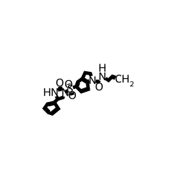 C=CCNC(=O)N1CCc2cc(S(=O)(=O)N3CC(c4ccccc4)NC3=O)ccc21